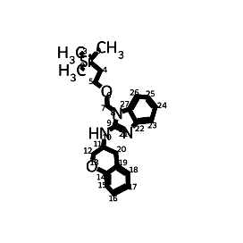 C[Si](C)(C)CCOCn1c(NC2COc3ccccc3C2)nc2ccccc21